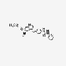 [C-]#[N+]c1cc2c(Oc3ccc(NC(=O)Nc4ccccn4)cc3)ccnc2cc1OCCOC